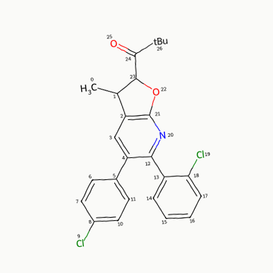 CC1c2cc(-c3ccc(Cl)cc3)c(-c3ccccc3Cl)nc2OC1C(=O)C(C)(C)C